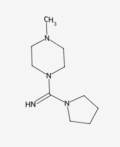 CN1CCN(C(=N)N2CCCC2)CC1